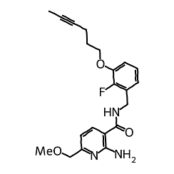 CC#CCCCOc1cccc(CNC(=O)c2ccc(COC)nc2N)c1F